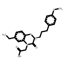 CCc1ccc2c(c1)N(CC(=O)O)C(=O)[C@H](CCCc1ccc(OC)cc1)S2